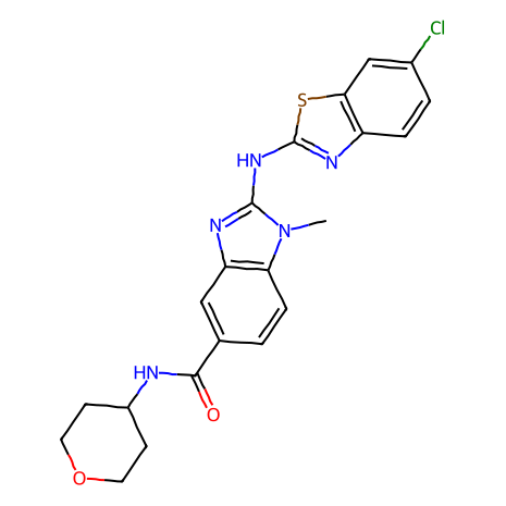 Cn1c(Nc2nc3ccc(Cl)cc3s2)nc2cc(C(=O)NC3CCOCC3)ccc21